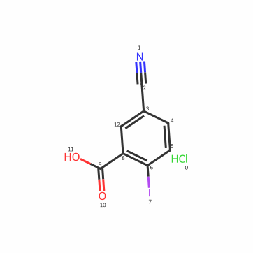 Cl.N#Cc1ccc(I)c(C(=O)O)c1